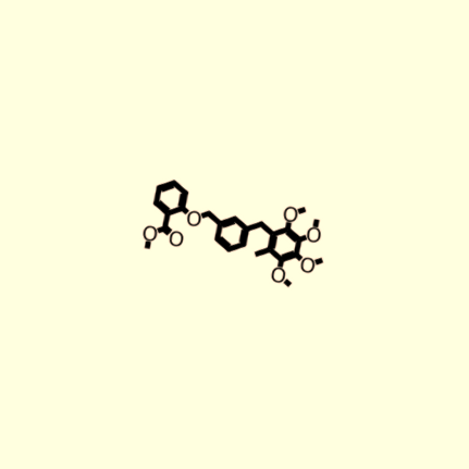 COC(=O)c1ccccc1OCc1cccc(Cc2c(C)c(OC)c(OC)c(OC)c2OC)c1